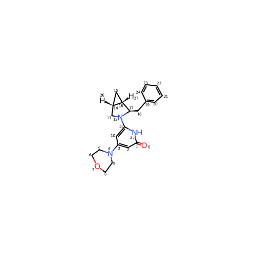 O=c1cc(N2CCOCC2)cc(N2C[C@@H]3C[C@@H]3[C@H]2Cc2ccccc2)[nH]1